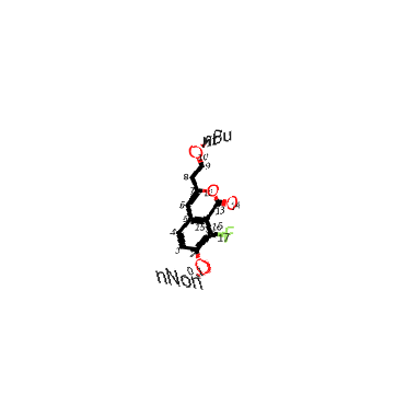 CCCCCCCCCOc1ccc2cc(CCOCCCC)oc(=O)c2c1F